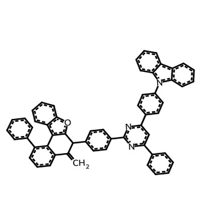 C=C1c2cccc(-c3ccccc3)c2-c2c(oc3ccccc23)C1c1ccc(-c2nc(-c3ccccc3)cc(-c3ccc(-n4c5ccccc5c5ccccc54)cc3)n2)cc1